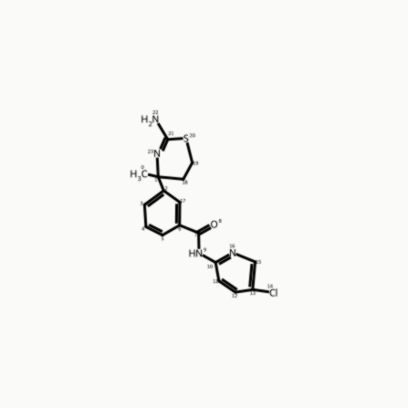 CC1(c2cccc(C(=O)Nc3ccc(Cl)cn3)c2)CCSC(N)=N1